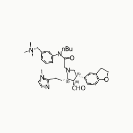 CCCCN(C(=O)CN1C[C@H](c2ccc3c(c2)CCO3)[C@@H](C=O)[C@@H]1CCc1nccn1C)c1cccc(C[N+](C)(C)C)c1